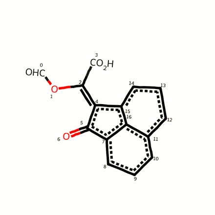 O=CO/C(C(=O)O)=c1\c(=O)c2cccc3cccc1c32